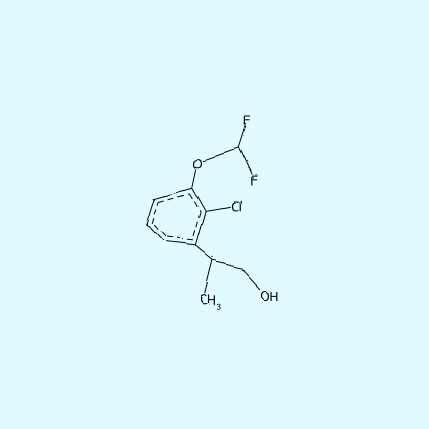 C[C](CO)c1cccc(OC(F)F)c1Cl